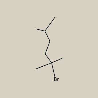 CC(C)CCC(C)(C)Br